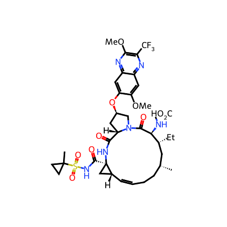 CC[C@@H]1C[C@H](C)CC/C=C\[C@@H]2C[C@@]2(C(=O)NS(=O)(=O)C2(C)CC2)NC(=O)[C@@H]2C[C@@H](Oc3cc4nc(OC)c(C(F)(F)F)nc4cc3OC)CN2C(=O)[C@H]1NC(=O)O